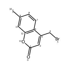 O=c1cc(CBr)c2ccc(I)cc2o1